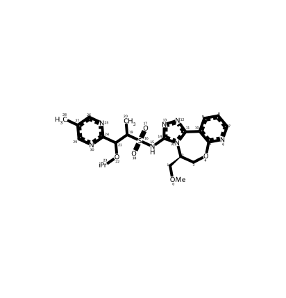 COC[C@@H]1COc2ncccc2-c2nnc(NS(=O)(=O)C(C)C(OC(C)C)c3ncc(C)cn3)n21